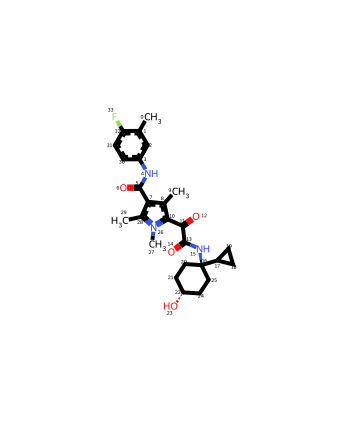 Cc1cc(NC(=O)c2c(C)c(C(=O)C(=O)N[C@]3(C4CC4)CC[C@@H](O)CC3)n(C)c2C)ccc1F